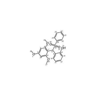 COc1cc(OC)c(C(c2ccccc2O)S(=O)(=O)c2ccccc2)c(OC)c1